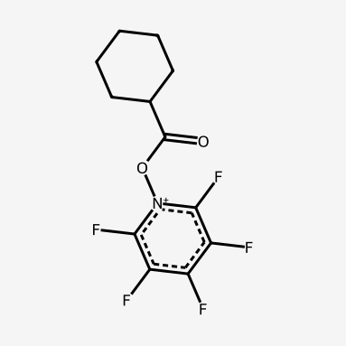 O=C(O[n+]1c(F)c(F)c(F)c(F)c1F)C1CCCCC1